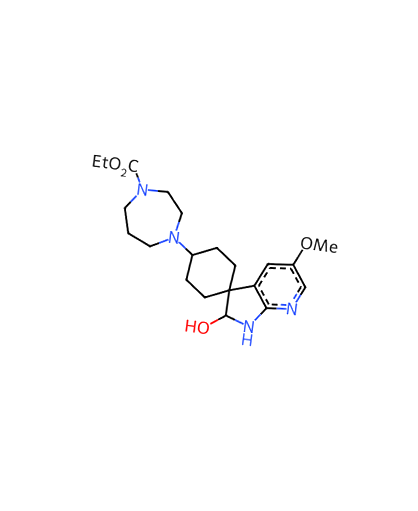 CCOC(=O)N1CCCN(C2CCC3(CC2)c2cc(OC)cnc2NC3O)CC1